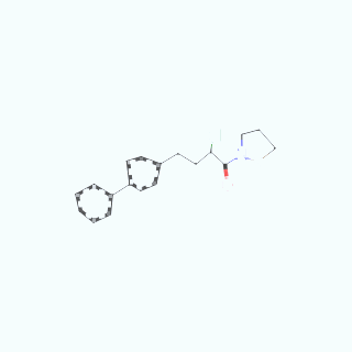 O=C(C(Cl)CCc1ccc(-c2ccccc2)cc1)N1CCCS1